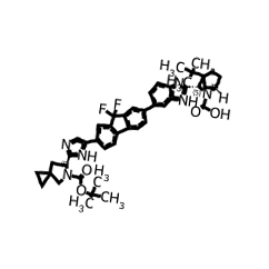 CC(C)(C)OC(=O)N1CC2(CC2)C[C@H]1c1ncc(-c2ccc3c(c2)C(F)(F)c2cc(-c4ccc5nc([C@H]6N(C(=O)O)[C@@H]7CCC6(C(C)(C)C)C7)[nH]c5c4)ccc2-3)[nH]1